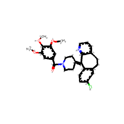 COc1cc(C(=O)N2CCC(=C3c4ccc(Cl)cc4CCc4cccnc43)CC2)cc(OC)c1OC